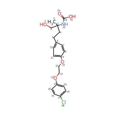 C[C@](CO)(CCc1ccc(OCCOc2ccc(Cl)cc2)cc1)NC(=O)O